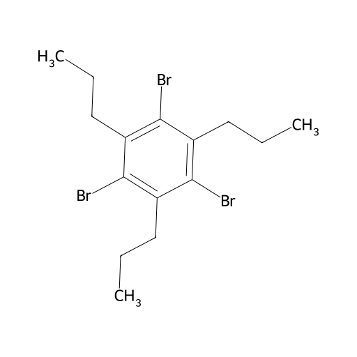 CCCc1c(Br)c(CCC)c(Br)c(CCC)c1Br